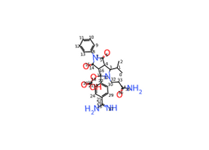 CC(C)C1C2C(=O)N(c3ccccc3)C(=O)C2C(OC(=O)O)(c2ccc(C(=N)N)cc2)N1CCC(N)=O